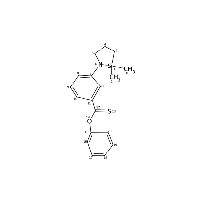 C[Si]1(C)CCCN1c1cccc(C(=S)Oc2ccccc2)c1